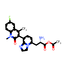 Cn1c(=O)c(-c2ccc(C[C@H](N)C(=O)OC(=O)C(F)(F)F)n3ccnc23)c(C(F)(F)F)c2cc(F)ccc21